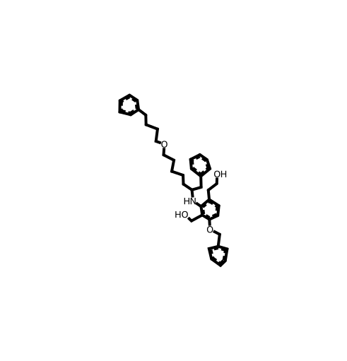 OCCc1ccc(OCc2ccccc2)c(CO)c1NC(CCCCCOCCCCc1ccccc1)Cc1ccccc1